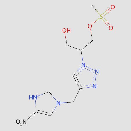 CS(=O)(=O)OCC(CO)n1cc(CN2C=C([N+](=O)[O-])NC2)nn1